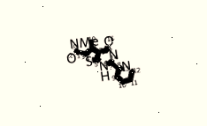 CNC(=O)c1sc2[nH]c(-c3ccccn3)nc(=O)c2c1C